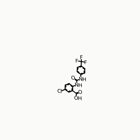 O=C(Nc1ccc(C(F)(F)F)cc1)Nc1ccc(Cl)cc1C(=O)O